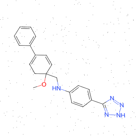 COC1(CNc2ccc(-c3nn[nH]n3)cc2)C=CC(c2ccccc2)=CC1